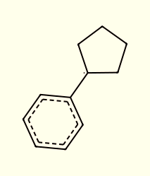 c1ccc([C]2CCCC2)cc1